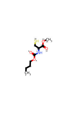 CCCCOC(=O)NC(CS)C(=O)OC